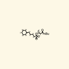 CCCCC(=O)C[S+](C)OS(=O)(=O)CCCCC1CCCCC1